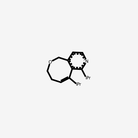 CC(C)/C1=C/CCOCc2ccnc(C(C)C)c21